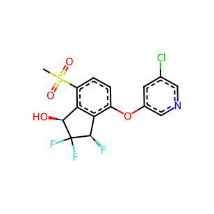 CS(=O)(=O)c1ccc(Oc2cncc(Cl)c2)c2c1[C@H](O)C(F)(F)[C@@H]2F